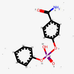 NC(=O)c1ccc(OP(=O)(O)Oc2ccccc2)cc1